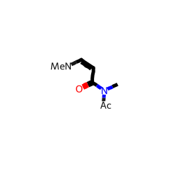 CN/C=C\C(=O)N(C)C(C)=O